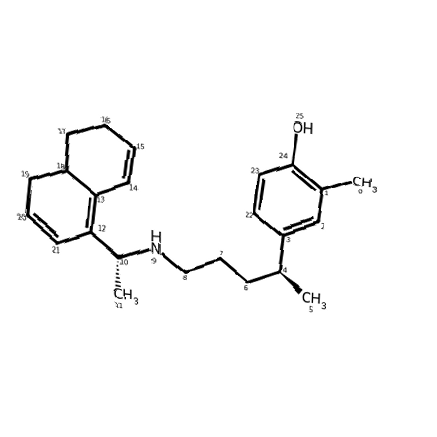 Cc1cc([C@@H](C)CCCN[C@H](C)C2=C3C=CCCC3CC=C2)ccc1O